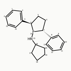 c1ccc([C@H]2CC[C@H](c3ccccc3)P2NC2CCCC2)cc1